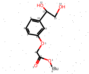 CC(C)(C)OC(=O)COc1cccc(C(O)CO)c1